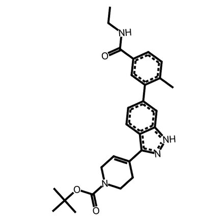 CCNC(=O)c1ccc(C)c(-c2ccc3c(C4=CCN(C(=O)OC(C)(C)C)CC4)n[nH]c3c2)c1